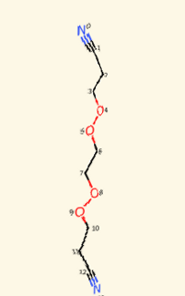 N#CCCOOCCOOCCC#N